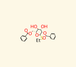 CCS[C@H]1O[C@H](COC(=O)c2ccccc2)[C@@H](O)[C@H](O)[C@@H]1OC(=O)c1ccccc1